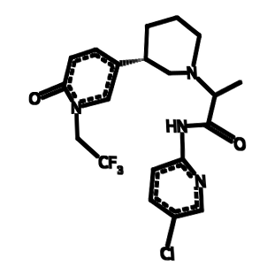 CC(C(=O)Nc1ccc(Cl)cn1)N1CCC[C@@H](c2ccc(=O)n(CC(F)(F)F)c2)C1